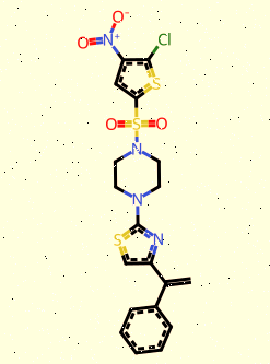 C=C(c1ccccc1)c1csc(N2CCN(S(=O)(=O)c3cc([N+](=O)[O-])c(Cl)s3)CC2)n1